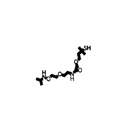 CC(C)NOCCOCCNC1OC1OCCC(C)(C)S